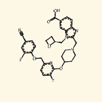 N#Cc1ccc(OCc2ccc(F)c(OC3CCN(Cc4nc5ccc(C(=O)O)cc5n4C[C@@H]4CCO4)CC3)n2)c(F)c1